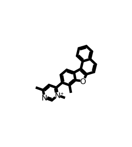 Cc1cc(-c2ccc3c(oc4ccc5ccccc5c43)c2C)[n+](C)cn1